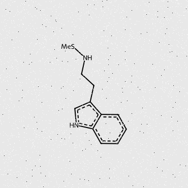 CSNCCc1c[nH]c2ccccc12